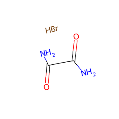 Br.NC(=O)C(N)=O